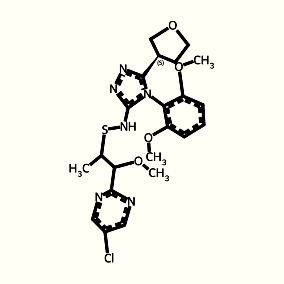 COc1cccc(OC)c1-n1c(NSC(C)C(OC)c2ncc(Cl)cn2)nnc1[C@@H]1CCOC1